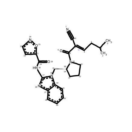 CC(C)C/C=C(\C#N)C(=O)N1CCC[C@@H]1Cn1c(NC(=O)c2ccno2)nc2ccccc21